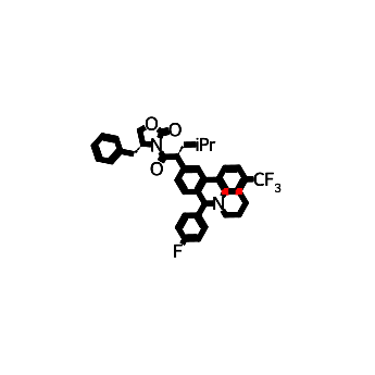 CC(C)C[C@@H](C(=O)N1C(=O)OC[C@H]1Cc1ccccc1)c1ccc(C(c2ccc(F)cc2)N2CCCCC2)c(-c2ccc(C(F)(F)F)cc2)c1